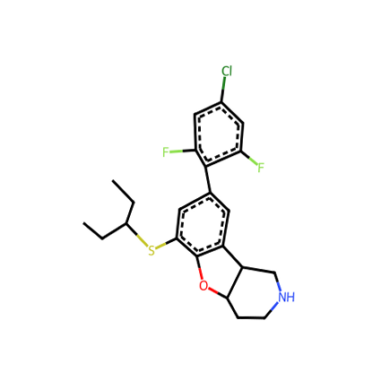 CCC(CC)Sc1cc(-c2c(F)cc(Cl)cc2F)cc2c1OC1CCNCC21